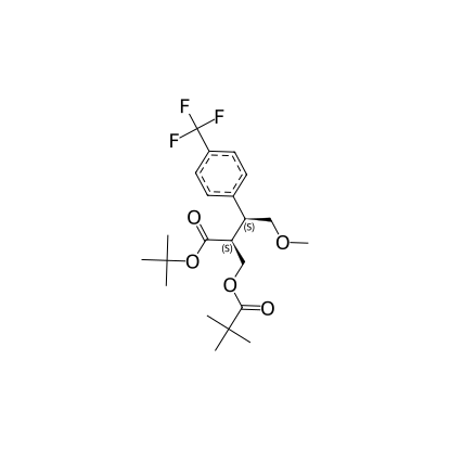 COC[C@H](c1ccc(C(F)(F)F)cc1)[C@@H](COC(=O)C(C)(C)C)C(=O)OC(C)(C)C